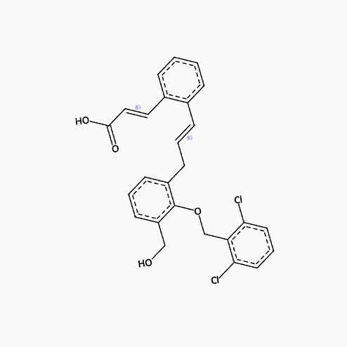 O=C(O)/C=C/c1ccccc1/C=C/Cc1cccc(CO)c1OCc1c(Cl)cccc1Cl